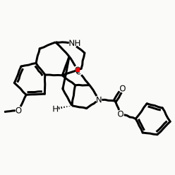 COc1ccc2c(c1)C13CCNC(C2)C12CCC1C3[C@@H](CN1C(=O)Oc1ccccc1)C2